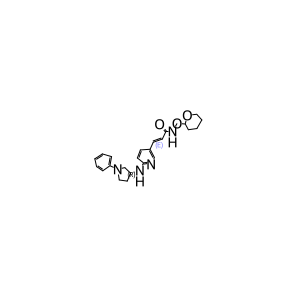 O=C(/C=C/c1ccc(N[C@@H]2CCN(c3ccccc3)C2)nc1)NOC1CCCCO1